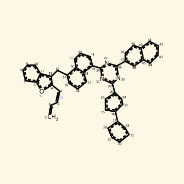 C=C/C=C\c1oc2ccccc2c1Cc1cccc2c(-c3nc(-c4ccc(-c5ccccc5)cc4)nc(-c4ccc5ccccc5c4)n3)cccc12